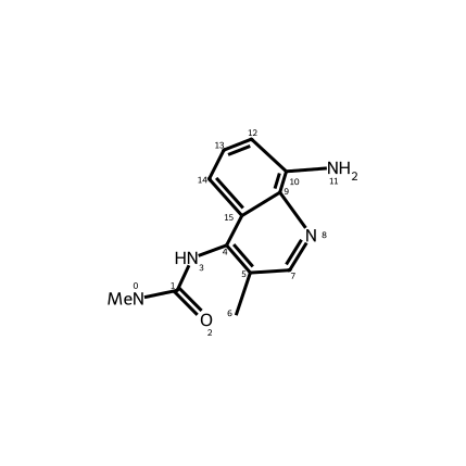 CNC(=O)Nc1c(C)cnc2c(N)cccc12